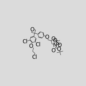 CC(C)(C)OC(=O)N(CC(=O)COc1ccc(C2(c3cc(Cl)c(OCCCCl)c(Cl)c3)COC2)cc1)S(C)(=O)=O